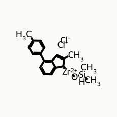 CC1=Cc2c(-c3ccc(C)cc3)cccc2[CH]1[Zr+2][O][SiH](C)C.[Cl-].[Cl-]